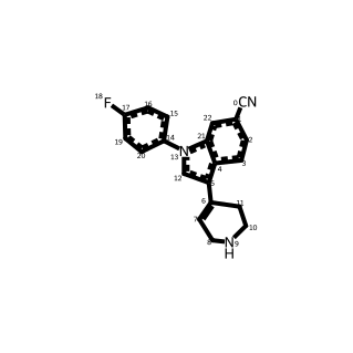 N#Cc1ccc2c(C3=CCNCC3)cn(-c3ccc(F)cc3)c2c1